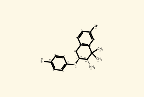 CC1(C)c2cc(O)ccc2C[C@H](Sc2ccc(Br)cc2)[C@H]1N